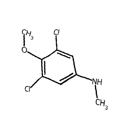 CNc1cc(Cl)c(OC)c(Cl)c1